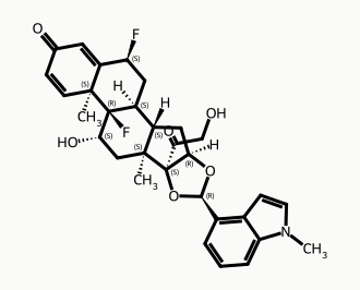 Cn1ccc2c([C@@H]3O[C@@H]4C[C@H]5[C@@H]6C[C@H](F)C7=CC(=O)C=C[C@]7(C)[C@@]6(F)[C@@H](O)C[C@]5(C)[C@]4(C(=O)CO)O3)cccc21